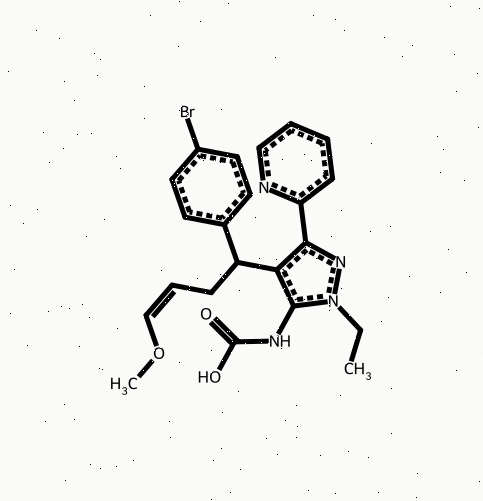 CCn1nc(-c2ccccn2)c(C(C/C=C\OC)c2ccc(Br)cc2)c1NC(=O)O